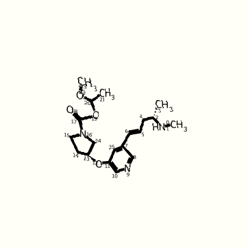 CN[C@@H](C)C/C=C/c1cncc(O[C@H]2CCN(C(=O)OC(C)OC)C2)c1